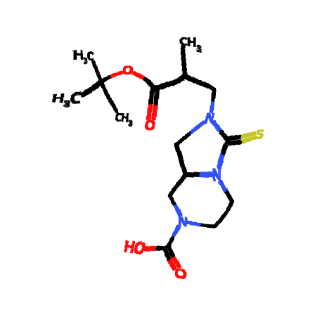 CC(CN1CC2CN(C(=O)O)CCN2C1=S)C(=O)OC(C)(C)C